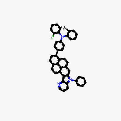 Cc1ccccc1N(c1ccc(-c2ccc3ccc4c5c(ccc2c35)cc2c4c3ncccc3n2-c2ccccc2)cc1)c1ccccc1F